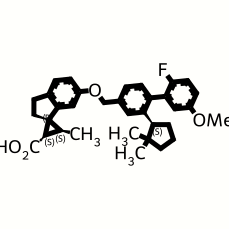 COc1ccc(F)c(-c2ccc(COc3ccc4c(c3)[C@]3(CC4)[C@@H](C)[C@@H]3C(=O)O)cc2[C@H]2CCCC2(C)C)c1